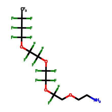 NCCOCC(F)(F)OC(F)(F)C(F)(F)OC(F)(F)C(F)(F)OC(F)(F)C(F)(F)C(F)(F)C(F)(F)F